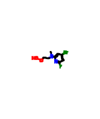 CN(CCOO)c1cc(Br)cc(F)n1